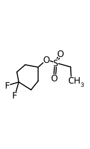 CCS(=O)(=O)OC1CCC(F)(F)CC1